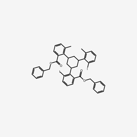 Cc1cccc(I)c1C1CC(c2c(C)cccc2C(=O)OCc2ccccc2)CC(c2c(I)cccc2C(=O)OCc2ccccc2)C1